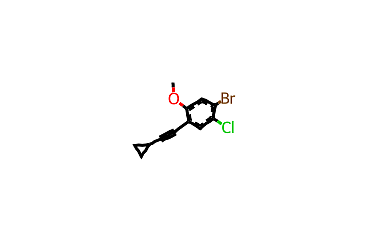 COc1cc(Br)c(Cl)cc1C#CC1CC1